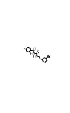 Cc1ccc(C(=O)NC(=S)NCCc2cccc(Br)c2)cc1